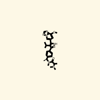 COc1cc(-c2[nH]nc(-c3ccc([C@H](C)N(C)C(=O)C(C)N(C)C)cc3)c2C(C)C)cn2ncnc12